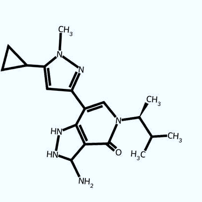 CC(C)[C@H](C)n1cc(-c2cc(C3CC3)n(C)n2)c2c(c1=O)C(N)NN2